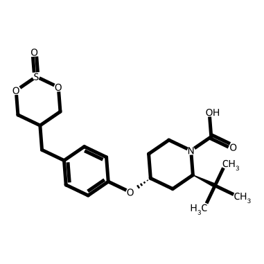 CC(C)(C)[C@H]1C[C@H](Oc2ccc(CC3COS(=O)OC3)cc2)CCN1C(=O)O